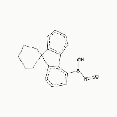 O=NB(O)c1cccc2c1-c1ccccc1C21CCCCC1